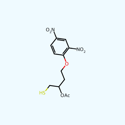 CC(=O)OC(CS)CCOc1ccc([N+](=O)[O-])cc1[N+](=O)[O-]